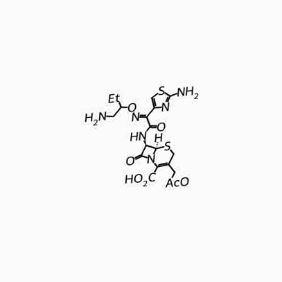 CCC(CN)ON=C(C(=O)N[C@@H]1C(=O)N2C(C(=O)O)=C(COC(C)=O)CS[C@H]12)c1csc(N)n1